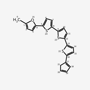 Cc1ccc(-c2ccc(-c3ccc(-c4ccc(C5=CC=CC5)s4)s3)s2)o1